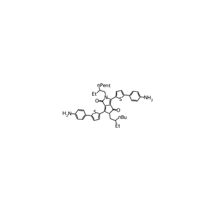 CCCCCC(CC)CN1C(=O)C2=C(c3ccc(-c4ccc(N)cc4)s3)C(CC(CC)CCCC)C(=O)C2=C1c1ccc(-c2ccc(N)cc2)s1